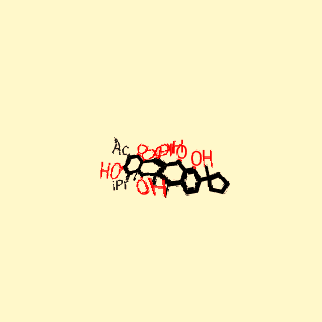 CC(=O)C1=C(O)C(C(C)C)[C@@]2(C)[C@H](O)[C@]3(C)C(=C(O)[C@@]2(O)C1=O)C(=O)c1c(ccc(C2(C)CCCC2)c1O)[C@H]3C